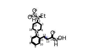 CCN(C1CCN(c2ccccc2/C=C/C(=O)NO)CC1)[SH](=O)=O